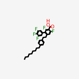 CCCCCCCCCc1ccc(CCc2cc(F)c(C(=O)O)c(F)c2-c2cc(F)c(F)c(F)c2)cc1